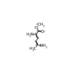 COC(=O)/C(N)=C/C=C(/C)N